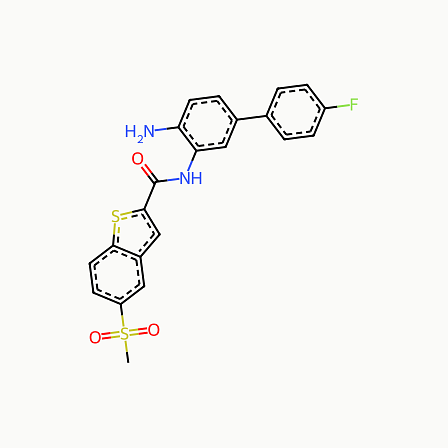 CS(=O)(=O)c1ccc2sc(C(=O)Nc3cc(-c4ccc(F)cc4)ccc3N)cc2c1